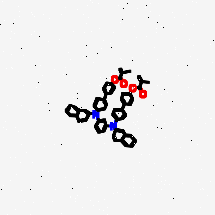 C=C(C)C(=O)Oc1ccc(-c2ccc(N(c3cccc(N(c4ccc(-c5ccc(OC(=O)C(=C)C)cc5)cc4)c4ccc5ccccc5c4)c3)c3ccc4ccccc4c3)cc2)cc1